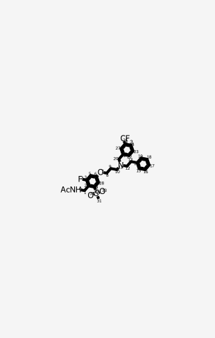 CC(=O)NCc1c(F)cc(OCCCN(CCc2ccccc2)Cc2cccc(C(F)(F)F)c2)cc1S(C)(=O)=O